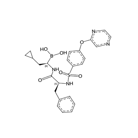 O=C(N[C@@H](CC1CC1)B(O)O)[C@H](Cc1ccccc1)NS(=O)(=O)c1ccc(Oc2cnccn2)cc1